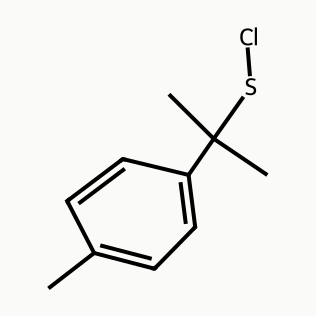 Cc1ccc(C(C)(C)SCl)cc1